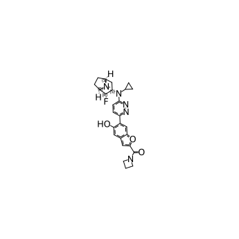 CN1[C@H]2CC[C@@H]1[C@@H](F)[C@@H](N(c1ccc(-c3cc4oc(C(=O)N5CCC5)cc4cc3O)nn1)C1CC1)C2